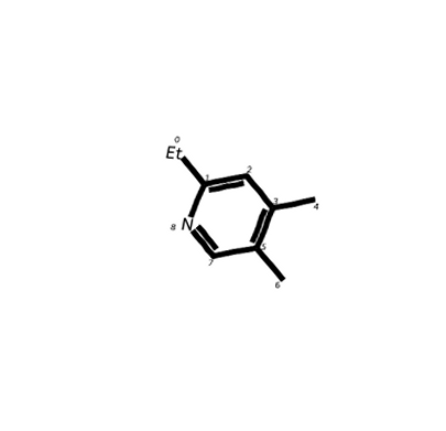 CCc1cc(C)c(C)cn1